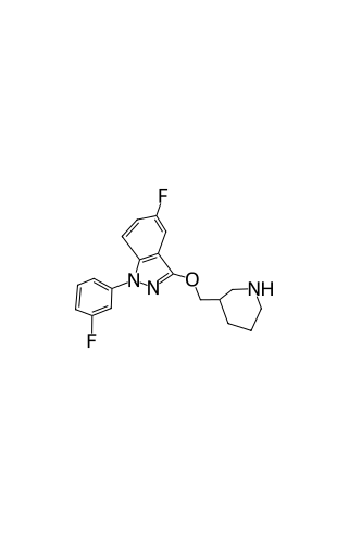 Fc1cccc(-n2nc(OCC3CCCNC3)c3cc(F)ccc32)c1